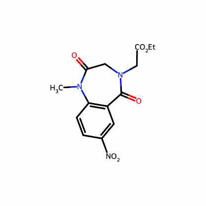 CCOC(=O)CN1CC(=O)N(C)c2ccc([N+](=O)[O-])cc2C1=O